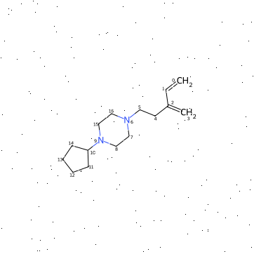 C=CC(=C)CCN1CCN(C2CCCC2)CC1